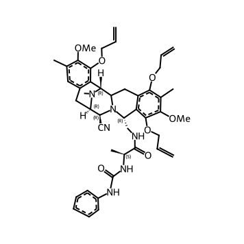 C=CCOc1c(C)c(OC)c(OCC=C)c2c1CC1[C@H]3c4c(cc(C)c(OC)c4OCC=C)C[C@H]([C@H](C#N)N1[C@H]2CNC(=O)[C@H](C)NC(=O)Nc1ccccc1)N3C